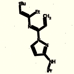 C=C/C(=N\C(=C\C(C)(C)C)CC)n1ccc(NC(C)C)n1